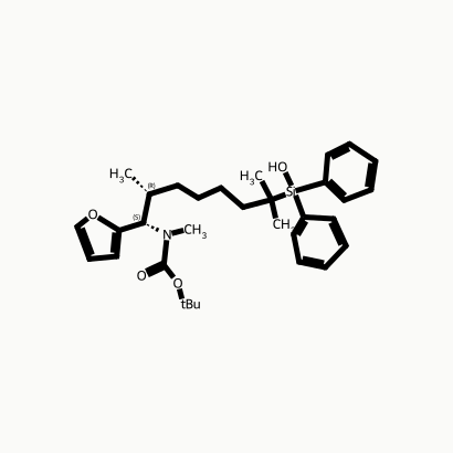 C[C@H](CCCCC(C)(C)[Si](O)(c1ccccc1)c1ccccc1)[C@@H](c1ccco1)N(C)C(=O)OC(C)(C)C